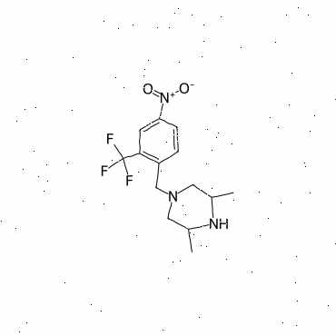 CC1CN(Cc2ccc([N+](=O)[O-])cc2C(F)(F)F)CC(C)N1